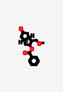 COCC1C(OC(=O)c2ccccc2)C[C@H]2CC(=O)C[C@@H]12